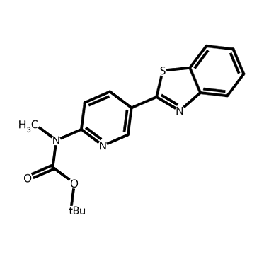 CN(C(=O)OC(C)(C)C)c1ccc(-c2nc3ccccc3s2)cn1